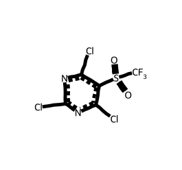 O=S(=O)(c1c(Cl)nc(Cl)nc1Cl)C(F)(F)F